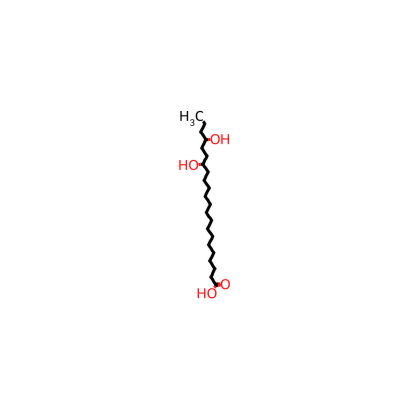 CCCC(O)CCC(O)CCCCCCCCCCCCCCC(=O)O